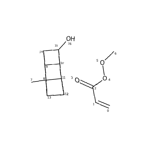 C=CC(=O)OOC.CC12C3C4C1C1C2C3C41O